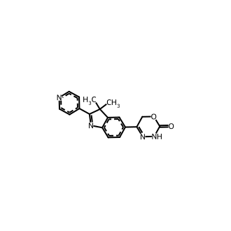 CC1(C)C(c2ccncc2)=Nc2ccc(C3=NNC(=O)OC3)cc21